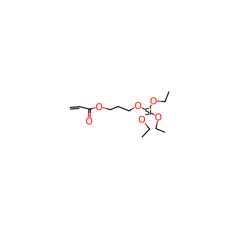 C=CC(=O)OCCCO[Si](OCC)(OCC)OCC